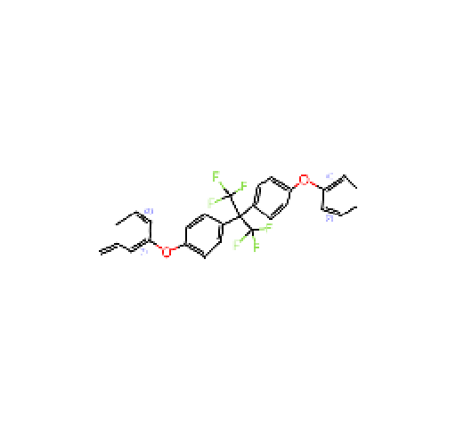 C=C/C=C(\C=C/C)Oc1ccc(C(c2ccc(OC(/C=C\C)=C/C)cc2)(C(F)(F)F)C(F)(F)F)cc1